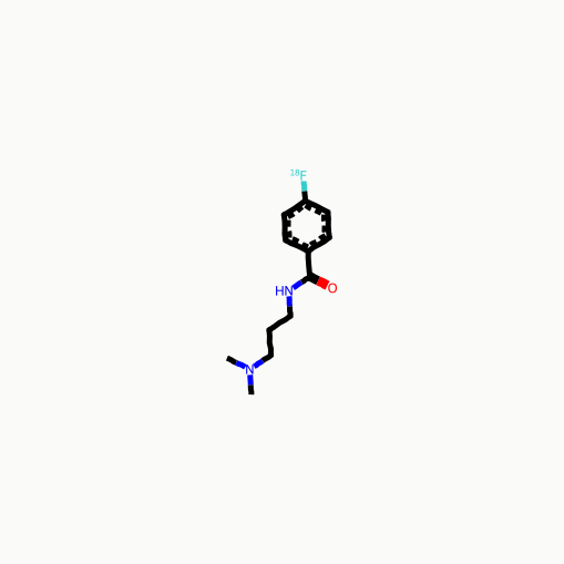 CN(C)CCCNC(=O)c1ccc([18F])cc1